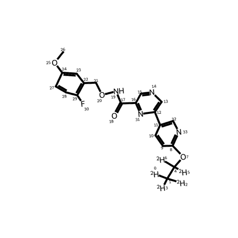 [2H]C([2H])([2H])C([2H])([2H])Oc1ccc(-c2cncc(C(=O)NOCc3cc(OC)ccc3F)n2)cn1